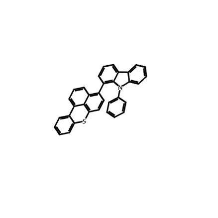 c1ccc(-n2c3ccccc3c3cccc(-c4ccc5c6c(cccc46)-c4ccccc4S5)c32)cc1